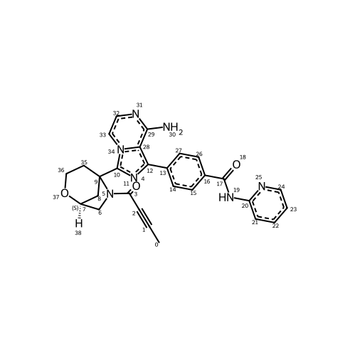 CC#CC(=O)N1C[C@@H]2CC1(c1nc(-c3ccc(C(=O)Nc4ccccn4)cc3)c3c(N)nccn13)CCO2